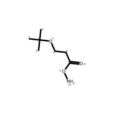 CC(C)(C)OCCC(=O)ON